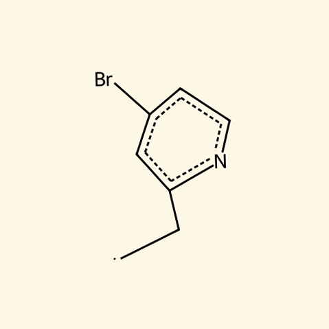 [CH2]Cc1cc(Br)ccn1